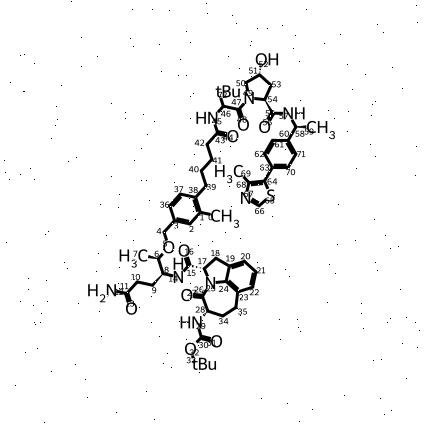 Cc1cc(CO[C@H](C)[C@H](CCC(N)=O)NC(=O)[C@@H]2Cc3cccc4c3N2C(=O)[C@@H](NC(=O)OC(C)(C)C)CC4)ccc1CCCCC(=O)NC(C(=O)N1C[C@H](O)C[C@H]1C(=O)N[C@@H](C)c1ccc(-c2scnc2C)cc1)C(C)(C)C